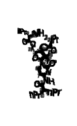 CCCC(CCC)C(=O)Nc1ccn([C@@H]2O[C@H](COC(=O)[C@@H](N)C(C)C)[C@@H](OC(=O)C(C)C)C2(F)F)c(=O)n1